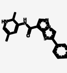 CC1=CNC(C)C(NC(=O)c2cnn3cc(-c4cccnc4)sc23)=C1